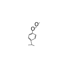 COCOc1ccc(C(C)C)cc1